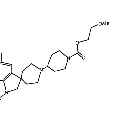 COCCOC(=O)N1CCC(N2CCC3(CC2)CN(C(C)=O)c2ccc(C)cc23)CC1